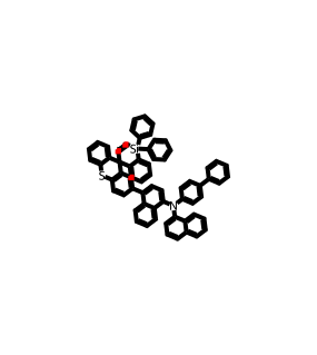 c1ccc(-c2ccc(N(c3cccc4ccccc34)c3ccc(-c4ccc5c(c4)C4(c6ccccc6S5)c5ccccc5[Si](c5ccccc5)(c5ccccc5)c5ccccc54)c4ccccc34)cc2)cc1